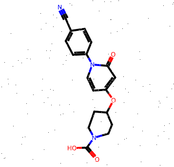 N#Cc1ccc(-n2ccc(OC3CCN(C(=O)O)CC3)cc2=O)cc1